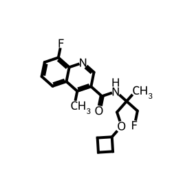 Cc1c(C(=O)NC(C)(CF)COC2CCC2)cnc2c(F)cccc12